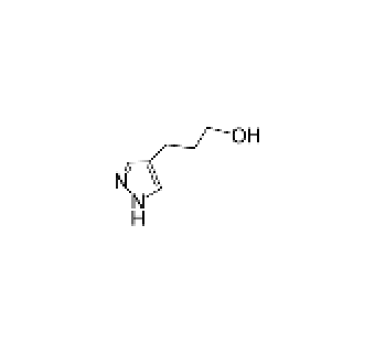 OCCCc1cn[nH]c1